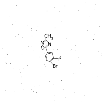 Cc1noc(-c2ccc(Br)c(F)c2)n1